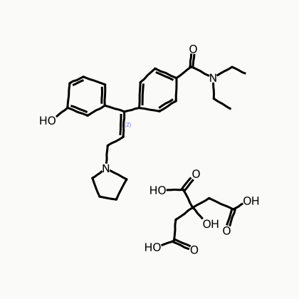 CCN(CC)C(=O)c1ccc(/C(=C/CN2CCCC2)c2cccc(O)c2)cc1.O=C(O)CC(O)(CC(=O)O)C(=O)O